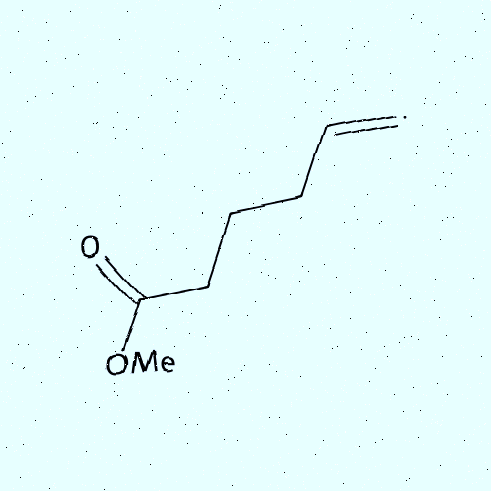 [CH]=CCCCC(=O)OC